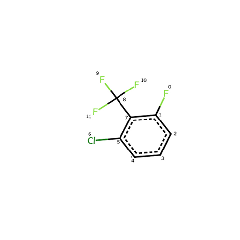 Fc1cc[c]c(Cl)c1C(F)(F)F